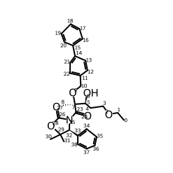 CCOCC[C@H](O)[C@](C)(OCc1ccc(-c2ccccc2)cc1)C(=O)N1C(=O)OC(C)(C)[C@@H]1c1ccccc1